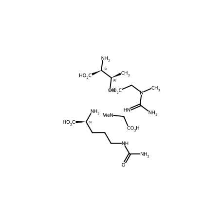 CN(CC(=O)O)C(=N)N.CNCC(=O)O.C[C@@H](O)[C@H](N)C(=O)O.NC(=O)NCCC[C@H](N)C(=O)O